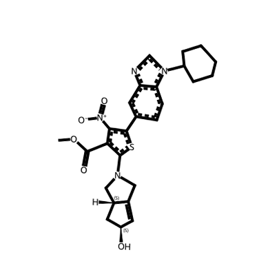 COC(=O)c1c(N2CC3=C[C@@H](O)C[C@@H]3C2)sc(-c2ccc3c(c2)ncn3C2CCCCC2)c1[N+](=O)[O-]